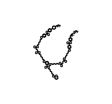 CCCC=C=C=Cc1ccc(OC(=O)c2ccc(OCCCCCCOC(=O)CCC(=O)OCCCCCCOc3ccc(OCCCCCCOC(=O)CCC(=O)OCCCCCCOc4ccc(C(=O)Oc5ccc(C6CCC(CCC)CC6)cc5)cc4)cc3C(=O)OCCCCCCOC3CCCCO3)cc2)cc1